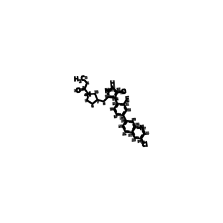 CCC(=O)N1CCC(Cc2n[nH]c(=O)n2-c2ccc(-c3ccc4cc(Cl)cnc4c3)cc2F)C1